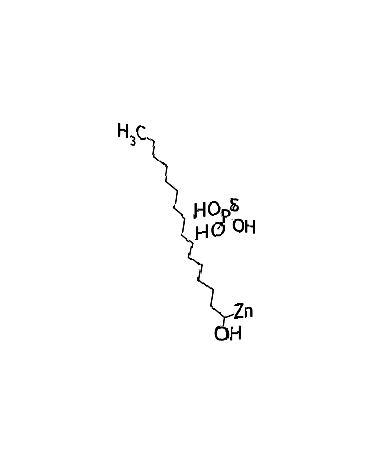 CCCCCCCCCCCCCCC[CH](O)[Zn].OP(O)(O)=S